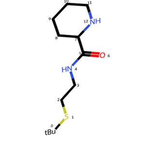 CC(C)(C)SCCNC(=O)C1CCCCN1